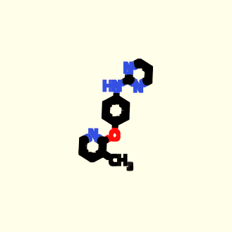 Cc1cccnc1Oc1ccc(Nc2ncccn2)cc1